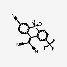 N#CC(C#N)=C1c2cc(C(F)(F)F)ccc2S(=O)(=O)c2cc(C#N)ccc21